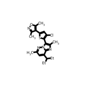 CCC(CC)c1cc(C)nn2c(-c3sc(-c4c(C)noc4C)cc3Cl)c(C)nc12